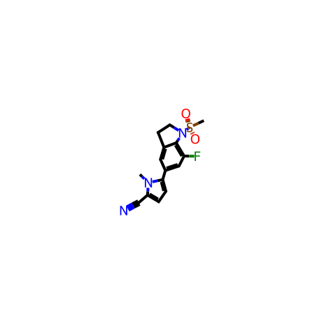 Cn1c(C#N)ccc1-c1cc(F)c2c(c1)CCN2S(C)(=O)=O